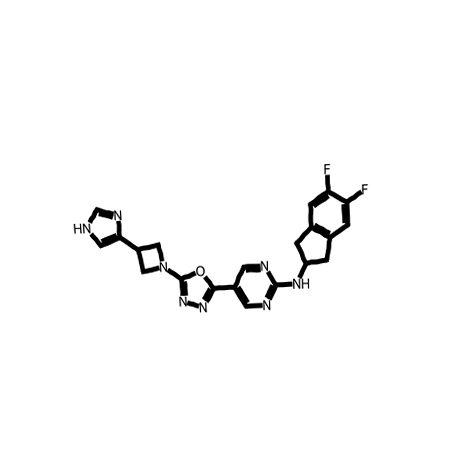 Fc1cc2c(cc1F)CC(Nc1ncc(-c3nnc(N4CC(c5c[nH]cn5)C4)o3)cn1)C2